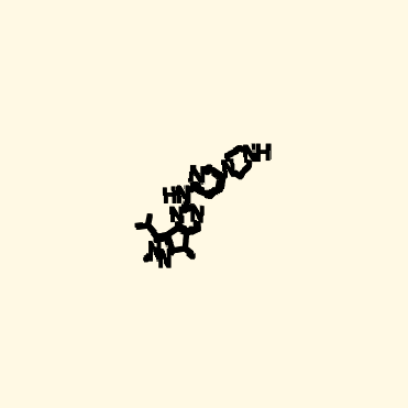 CC(C)c1c2c(nn1C)C(C)c1cnc(Nc3ccc(N4CCNCC4)cn3)nc1-2